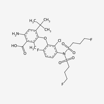 Cc1c(Oc2c(F)ccc(N(S(=O)(=O)CCCF)S(=O)(=O)CCCF)c2Cl)c(C(C)(C)C)cc(N)c1C(=O)O